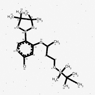 CC(CCO[Si](C)(C)C(C)(C)C)Oc1cc(Cl)ncc1B1OC(C)(C)C(C)(C)O1